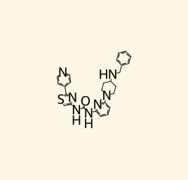 O=C(Nc1cccc(N2CCC(NCc3ccccc3)CC2)n1)Nc1csc(-c2ccncc2)n1